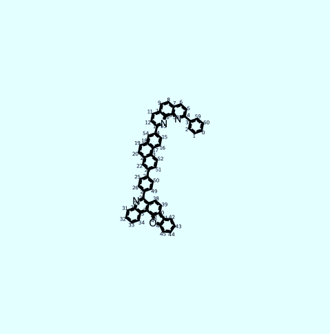 c1ccc(-c2ccc3ccc4ccc(-c5ccc6c(ccc7cc(-c8ccc(-c9nc%10ccccc%10c%10c9ccc9c%11ccccc%11oc9%10)cc8)ccc76)c5)nc4c3n2)cc1